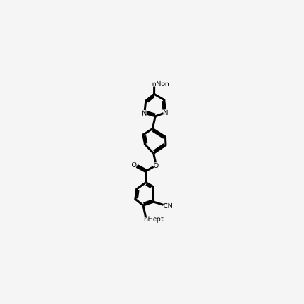 CCCCCCCCCc1cnc(-c2ccc(OC(=O)c3ccc(CCCCCCC)c(C#N)c3)cc2)nc1